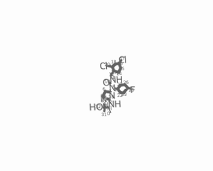 C[C@H](Nc1nccc(N(C(=O)NCc2ccc(Cl)cc2Cl)c2ccc(F)cc2)n1)C(C)(C)O